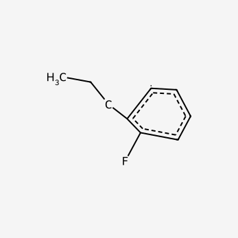 CCCc1[c]cccc1F